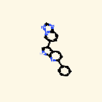 c1ccc(-c2ccc3c(-c4ccc5ncnn5c4)c[nH]c3n2)cc1